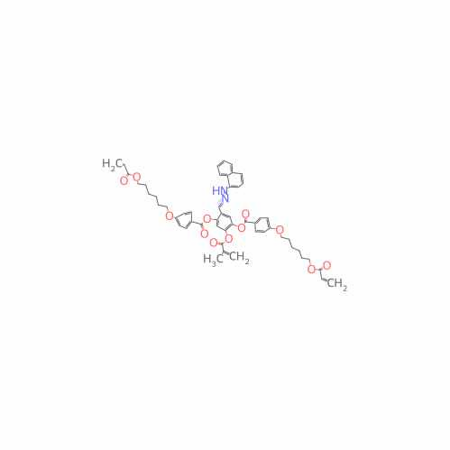 C=CC(=O)OCCCCCCOc1ccc(C(=O)Oc2cc(OC(=O)C(=C)C)c(OC(=O)c3ccc(OCCCCCCOC(=O)C=C)cc3)cc2/C=N/Nc2cccc3ccccc23)cc1